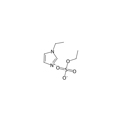 CCN1C=C[N+]=C1.CCOS(=O)(=O)[O-]